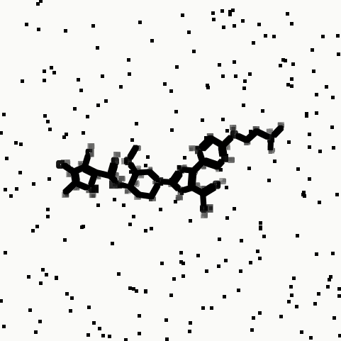 CO[C@H]1CN(c2nc(-c3cnc(OCCN(C)C)cn3)c(C(=O)O)s2)CC[C@H]1NC(=O)c1[nH]c(C)c(Cl)c1Cl